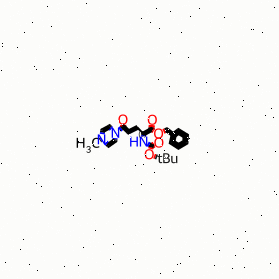 CN1CCN(C(=O)CC[C@H](NC(=O)OC(C)(C)C)C(=O)OCc2ccccc2)CC1